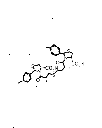 Cc1ccc(C2SC[C@@H](C(=O)O)N2C(=O)[C@H](C)CSSC[C@@H](C)C(=O)N2C(c3ccc(C)cc3)SC[C@H]2C(=O)O)cc1